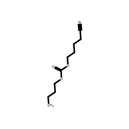 CCCCOC(=O)OCCCCC#N